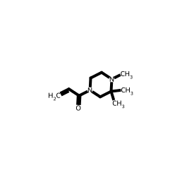 C=CC(=O)N1CCN(C)C(C)(C)C1